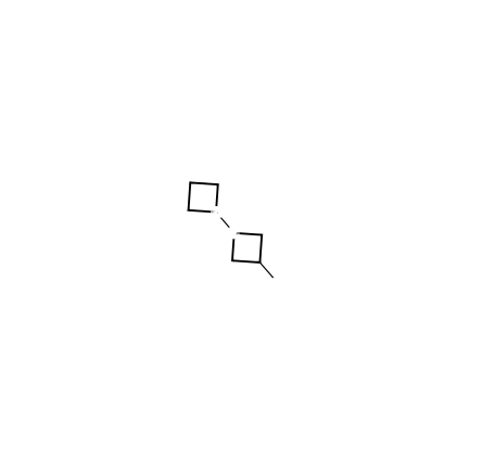 CC1CN(N2CCC2)C1